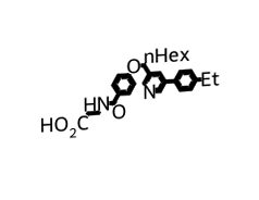 CCCCCC[C@@H](Oc1ccc(C(=O)NCCC(=O)O)cc1)c1cncc(-c2ccc(CC)cc2)c1